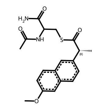 COc1ccc2cc([C@@H](C)C(=O)SCC(NC(C)=O)C(N)=O)ccc2c1